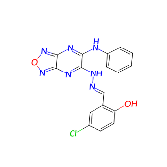 Oc1ccc(Cl)cc1C=NNc1nc2nonc2nc1Nc1ccccc1